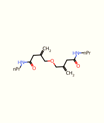 C=C(COCC(=C)CC(=O)NCCC)CC(=O)NCCC